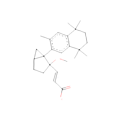 COC1(/C=C/C(=O)O)CCC2CC21c1cc2c(cc1C)C(C)(C)CCC2(C)C